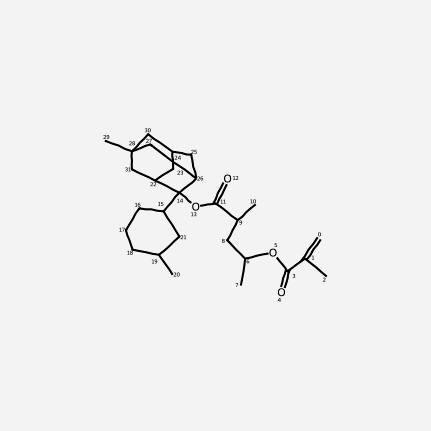 C=C(C)C(=O)OC(C)CC(C)C(=O)OC1(C2CCCC(C)C2)C2CC3CC1CC(C)(C3)C2